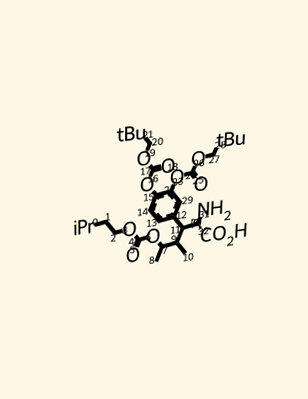 CC(C)CCOC(=O)OC(C)C(C)C(c1ccc(OC(=O)OCC(C)(C)C)c(OC(=O)OCC(C)(C)C)c1)[C@H](N)C(=O)O